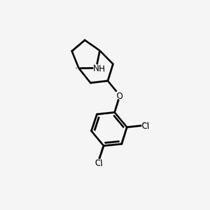 Clc1ccc(OC2C[C]3CCC(C2)N3)c(Cl)c1